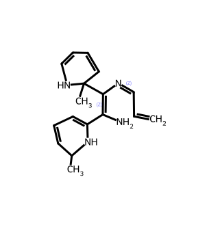 C=C/C=N\C(=C(/N)C1=CC=CC(C)N1)C1(C)C=CC=CN1